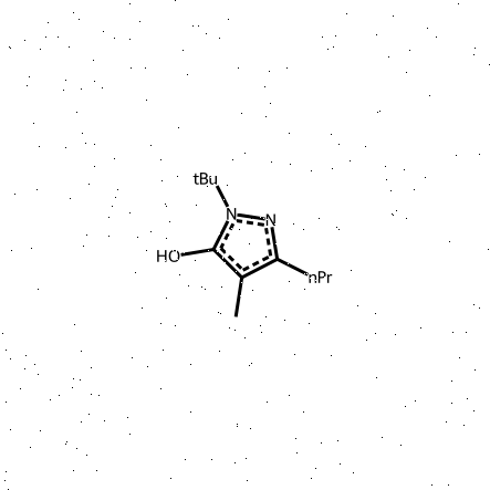 CCCc1nn(C(C)(C)C)c(O)c1C